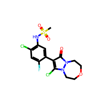 CS(=O)(=O)Nc1cc(-c2c(Cl)n3n(c2=O)CCOCC3)c(F)cc1Cl